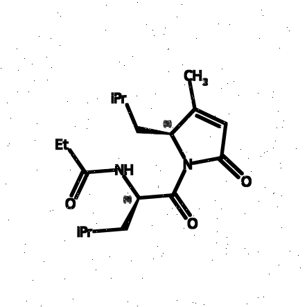 CCC(=O)N[C@H](CC(C)C)C(=O)N1C(=O)C=C(C)[C@@H]1CC(C)C